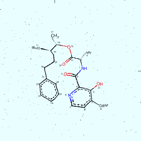 CCC[C@H](NC(=O)c1nccc(OC)c1O)C(=O)O[C@@H](C)[C@@H](CCc1ccccc1)OCC(C)C